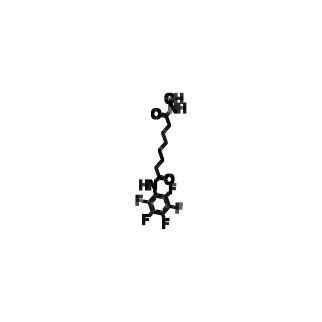 O=C(CCCCCCC(=O)Nc1c(F)c(F)c(F)c(F)c1F)NO